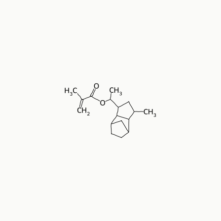 C=C(C)C(=O)OC(C)C1CC(C)C2C3CCC(C3)C12